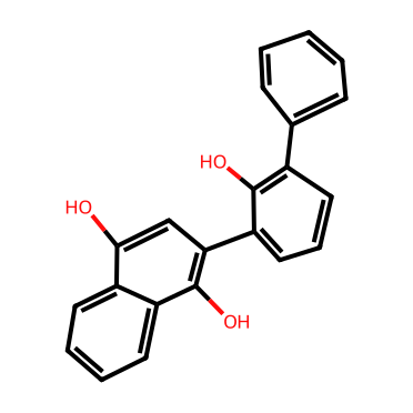 Oc1c(-c2ccccc2)cccc1-c1cc(O)c2ccccc2c1O